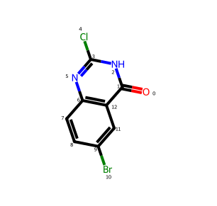 O=c1[nH]c(Cl)nc2ccc(Br)cc12